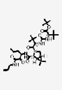 C=CCNC(=O)C(=O)C(CCC)NC(=O)[C@@H]1[C@@H]2[C@H](CN1C(=O)[C@@H](NC(=O)N[C@H](C(=O)OC(C)(C)C)C(C)(C)C)C(C)(C)C)C2(C)C